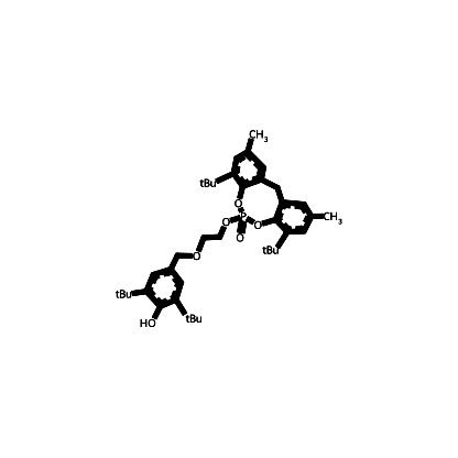 Cc1cc2c(c(C(C)(C)C)c1)OP(=O)(OCCOCc1cc(C(C)(C)C)c(O)c(C(C)(C)C)c1)Oc1c(cc(C)cc1C(C)(C)C)C2